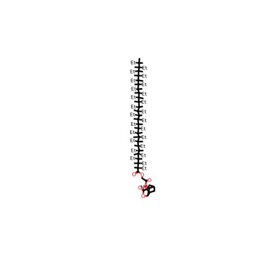 CCC(C)(C)C(C)(CC)C(C)(CC)C(C)(CC)C(C)(CC)C(C)(CC)C(C)(CC)C(C)(CC)C(C)(CC)C(C)(CC)C(C)(CC)C(C)(CC)C(C)(CC)C(C)(CC)C(C)(CC)C(C)(CC)C(C)(CC)C(C)(CC)C(C)(CC)C(C)(CC)C(C)(CC)C(C)(CC)C(C)(CC)C(C)(CC)C(C)(CC)C(=O)OCC(=O)OC1C2CC3C1OC(=O)C3(C#N)C2